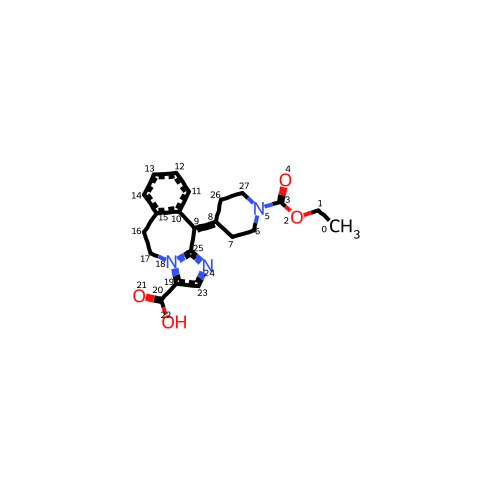 CCOC(=O)N1CCC(=C2c3ccccc3CCn3c(C(=O)O)cnc32)CC1